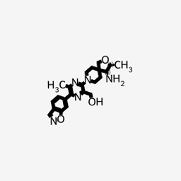 Cc1nc(N2CCC3(CC2)CO[C@@H](C)[C@H]3N)c(CO)nc1-c1ccc2cnoc2c1